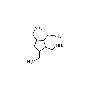 NCC1CC(CN)C(CN)C1CN